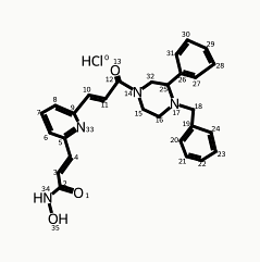 Cl.O=C(C=Cc1cccc(C=CC(=O)N2CCN(Cc3ccccc3)C(c3ccccc3)C2)n1)NO